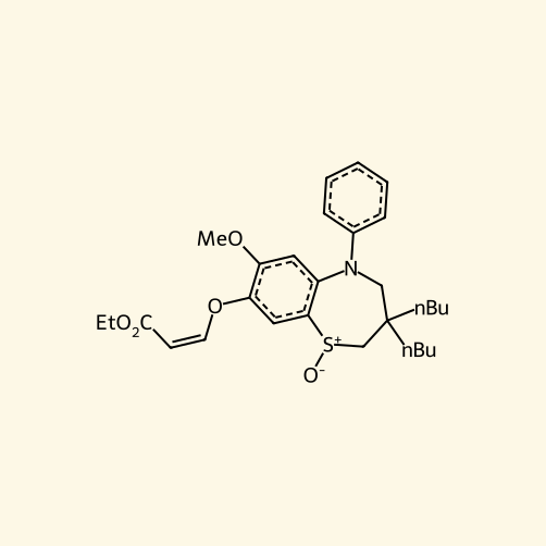 CCCCC1(CCCC)CN(c2ccccc2)c2cc(OC)c(O/C=C\C(=O)OCC)cc2[S+]([O-])C1